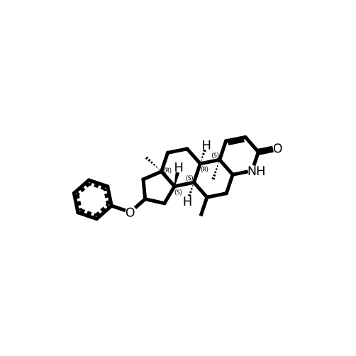 CC1CC2NC(=O)C=C[C@]2(C)[C@@H]2CC[C@]3(C)CC(Oc4ccccc4)C[C@H]3[C@H]12